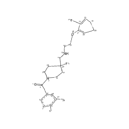 Cc1ccc(C(=O)N2CCC(F)(CNCCOC3=CCCC=C3F)CC2)cc1C